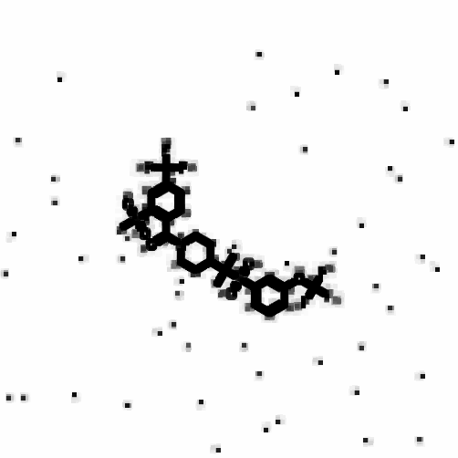 CC(C)(C1CCN(C(=O)c2ccc(C(F)(F)F)cc2S(C)(=O)=O)CC1)S(=O)(=O)c1cccc(OC(F)(F)F)c1